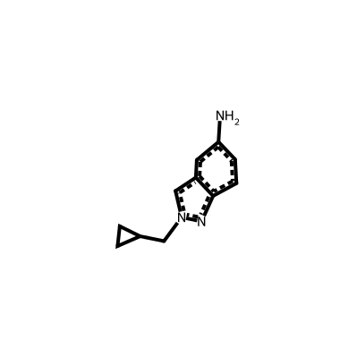 Nc1ccc2nn(CC3CC3)cc2c1